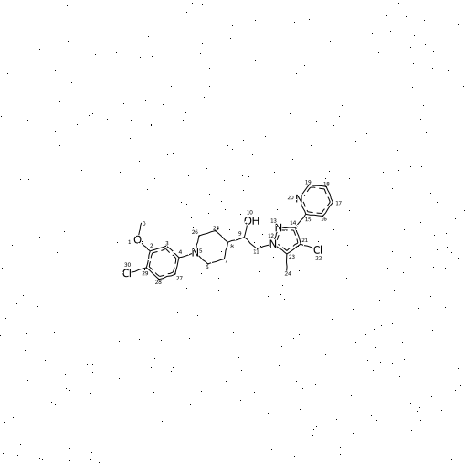 COc1cc(N2CCC(C(O)Cn3nc(-c4ccccn4)c(Cl)c3C)CC2)ccc1Cl